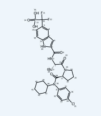 CC(C)(C)[C@H](NC(=O)c1cc2cc(C(F)(F)P(=O)(O)O)ccc2[nH]1)C(=O)N1CCC[C@H]1C(=O)N(c1ccc(Cl)cc1)C1CCCCC1